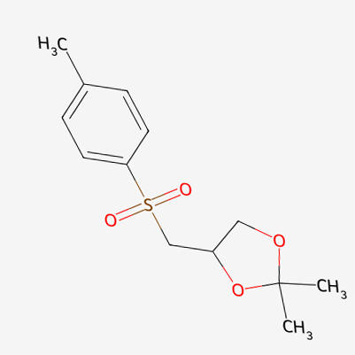 Cc1ccc(S(=O)(=O)CC2COC(C)(C)O2)cc1